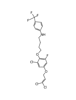 Fc1cc(OCC=C(Cl)Cl)cc(Cl)c1OCCCCNc1ccc(C(F)(F)F)cc1